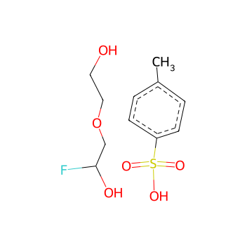 Cc1ccc(S(=O)(=O)O)cc1.OCCOCC(O)F